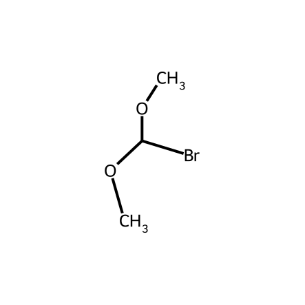 COC(Br)OC